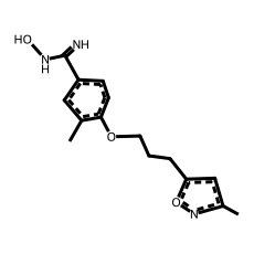 Cc1cc(CCCOc2ccc(C(=N)NO)cc2C)on1